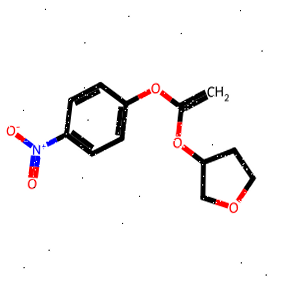 C=C(Oc1ccc([N+](=O)[O-])cc1)OC1CCOC1